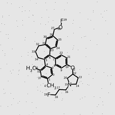 Cc1ccc(C2=C(c3ccc(OC4CCN(CCCF)C4)cc3)c3ccc(COF)cc3CCC2)c(C)c1